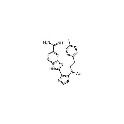 CC(=O)N(CCc1ccc(C)cc1)n1ccnc1-c1nc2cc(C(=N)N)ccc2[nH]1